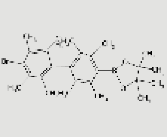 Cc1c(C)c(-c2c(C)c(C)c(B3OC(C)(C)C(C)(C)O3)c(C)c2C)c(C)c(C)c1Br